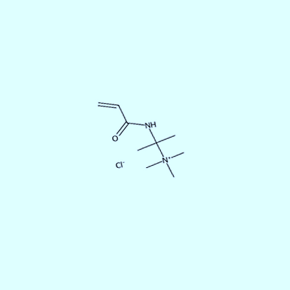 C=CC(=O)NC(C)(C)[N+](C)(C)C.[Cl-]